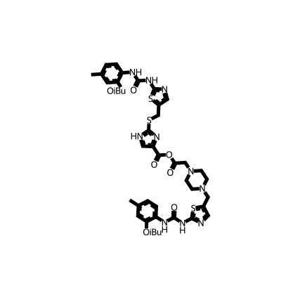 Cc1ccc(NC(=O)Nc2ncc(CSc3nc(C(=O)OC(=O)CN4CCN(Cc5cnc(NC(=O)Nc6ccc(C)cc6OCC(C)C)s5)CC4)c[nH]3)s2)c(OCC(C)C)c1